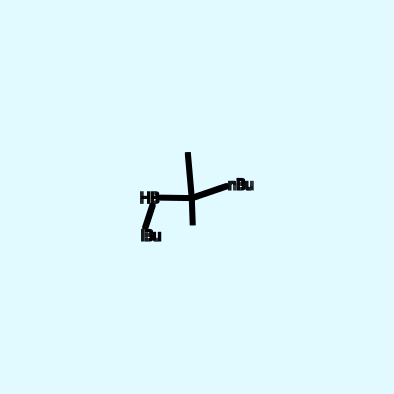 CCCCC(C)(C)BC(C)CC